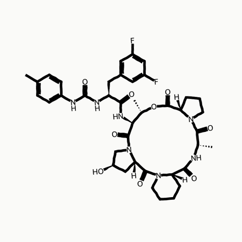 Cc1ccc(NC(=O)N[C@@H](Cc2cc(F)cc(F)c2)C(=O)N[C@@H]2C(=O)N3C[C@H](O)C[C@H]3C(=O)N3CCCC[C@H]3C(=O)N[C@@H](C)C(=O)N3CCC[C@H]3C(=O)O[C@H]2C)cc1